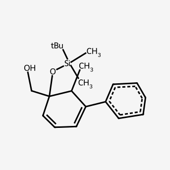 CC1C(c2ccccc2)=CC=CC1(CO)O[Si](C)(C)C(C)(C)C